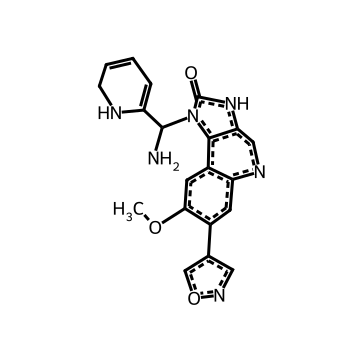 COc1cc2c(cc1-c1cnoc1)ncc1[nH]c(=O)n(C(N)C3=CC=CCN3)c12